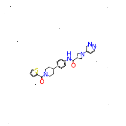 O=C(Nc1ccc(C2CCN(C(=O)c3cccs3)CC2)cc1)C1CN(c2ccnnc2)C1